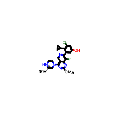 COc1nc(N2CCN[C@@H](CC#N)C2)c2cnc(-c3cc(O)cc(Cl)c3C3CC3)c(F)c2n1